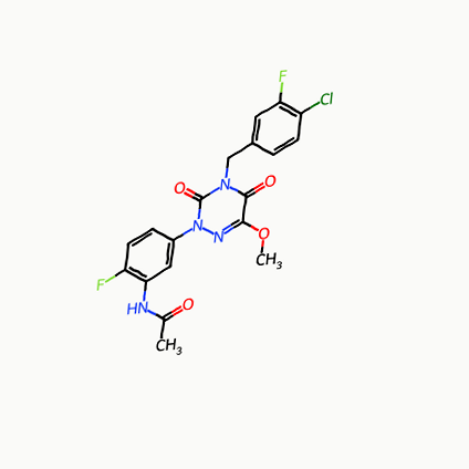 COc1nn(-c2ccc(F)c(NC(C)=O)c2)c(=O)n(Cc2ccc(Cl)c(F)c2)c1=O